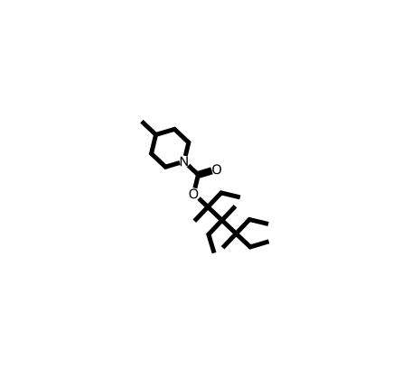 CCC(C)(CC)C(C)(CC)C(C)(CC)OC(=O)N1CCC(C)CC1